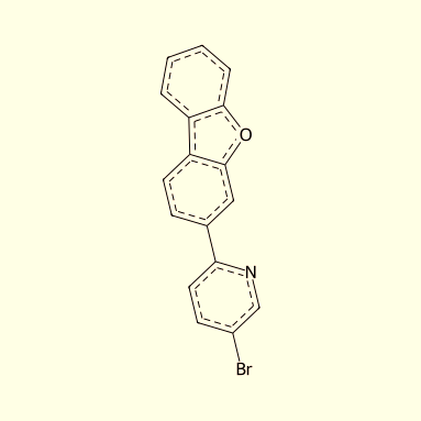 Brc1ccc(-c2ccc3c(c2)oc2ccccc23)nc1